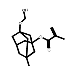 C=C(C)C(=O)OC12CC3CC(C)(CC(OCO)(C3)C1)C2